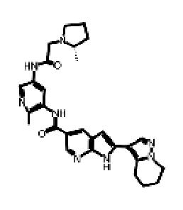 Cc1ncc(NC(=O)CN2CCC[C@@H]2C)cc1NC(=O)c1cnc2[nH]c(-c3cnn4c3CCCC4)cc2c1